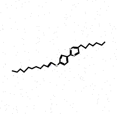 CCCCCCCCC/C=C/Oc1ccc(-c2ncc(CCCCCCC)cn2)cc1